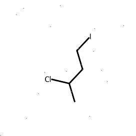 CC(Cl)CCI